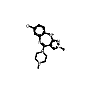 CCn1cc2c(n1)Nc1ccc(Cl)cc1N=C2N1CCN(C)CC1